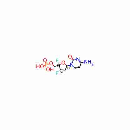 Nc1ccn([C@H]2C[C@H](F)[C@@](F)(COP(=O)(O)O)O2)c(=O)n1